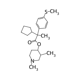 CSc1ccc(C(C)(C(=O)OC2CCN(C)CC2C)C2CCCC2)cc1